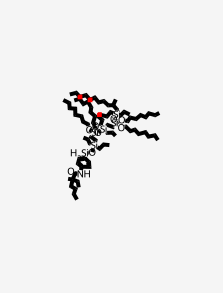 CCCCCCCCCC(C)C[Si](CCC)(CCC)O[Si](CC[Si](CCC)(CCC)O[Si](CC[Si](CCC)(CCC)O[SiH2]c1ccc(NC(=O)C(C)(CC)CCCC)cc1)(OCCCCCCCC)OCCCCCCCC)(OCCCCCCCC)OCCCCCCCC